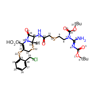 CC(C)(C)OC(=O)N=C(N)N(CCSCC(=O)N[C@@H]1C(=O)N2C(C(=O)O)=C(Sc3ccccc3CCl)CS[C@@H]12)C(=O)OC(C)(C)C